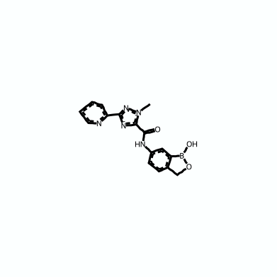 Cn1nc(-c2ccccn2)nc1C(=O)Nc1ccc2c(c1)B(O)OC2